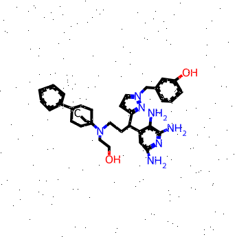 Nc1cc(C(CCN(CCO)C23CCC(c4ccccc4)(CC2)CC3)c2ccn(Cc3cccc(O)c3)n2)c(N)c(N)n1